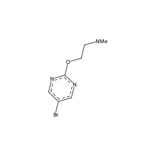 CNCCOc1ncc(Br)cn1